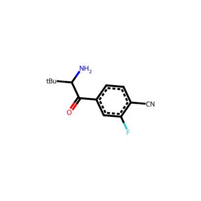 CC(C)(C)C(N)C(=O)c1ccc(C#N)c(F)c1